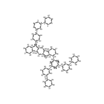 c1ccc(-c2cccc(-c3ccc(-n4c5ccccc5c5cc6oc7c(-c8nc(-c9cccc(-c%10ccccc%10)c9)nc(-c9cccc(-c%10ccccc%10)c9)n8)cccc7c6cc54)cc3)c2)cc1